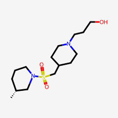 C[C@@H]1CCCN(S(=O)(=O)CC2CCN(CCCO)CC2)C1